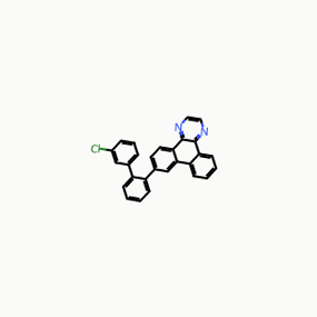 Clc1cccc(-c2ccccc2-c2ccc3c(c2)c2ccccc2c2nccnc32)c1